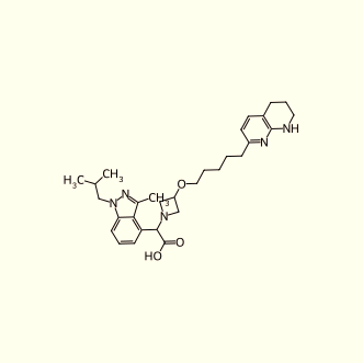 Cc1nn(CC(C)C)c2cccc(C(C(=O)O)N3CC(OCCCCCc4ccc5c(n4)NCCC5)C3)c12